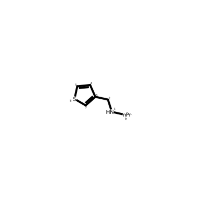 CC[CH]NCc1ccsc1